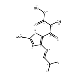 CSc1nc(/N=C/N(C)C)c(C(=O)C(C#N)C(=O)OC(C)(C)C)s1